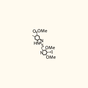 COC(=O)c1cc2nc(SCc3ncc(OC)c(C4CC4)c3OC)[nH]c2cc1C